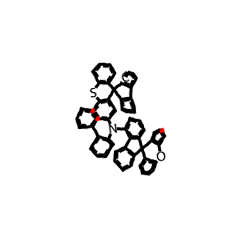 c1ccc(-c2ccccc2N(c2ccc3c(c2)C2(c4ccccc4S3)c3ccccc3-c3ccccc32)c2cccc3c2-c2ccccc2C32c3ccccc3Oc3ccccc32)cc1